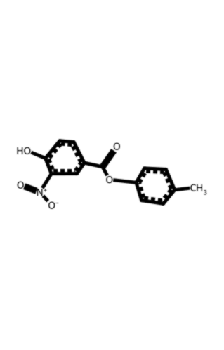 Cc1ccc(OC(=O)c2ccc(O)c([N+](=O)[O-])c2)cc1